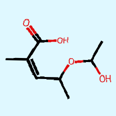 CC(=CC(C)OC(C)O)C(=O)O